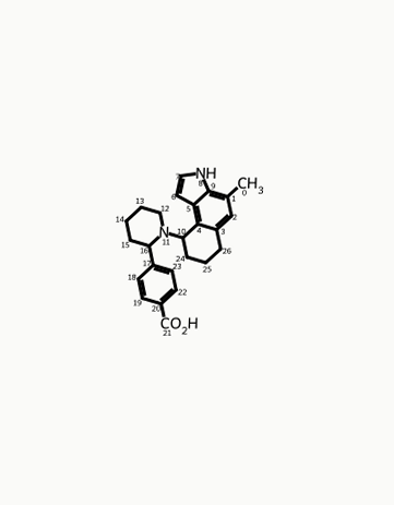 Cc1cc2c(c3cc[nH]c13)C(N1CCCCC1c1ccc(C(=O)O)cc1)CCC2